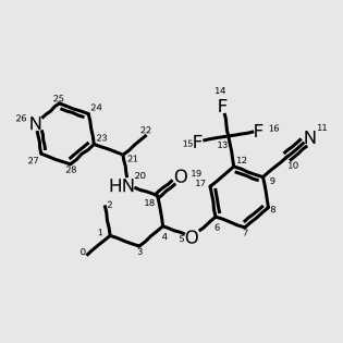 CC(C)CC(Oc1ccc(C#N)c(C(F)(F)F)c1)C(=O)NC(C)c1ccncc1